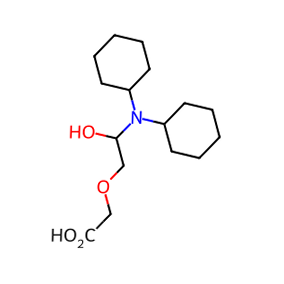 O=C(O)COCC(O)N(C1CCCCC1)C1CCCCC1